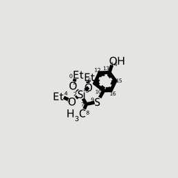 CCO[Si](OCC)(OCC)C(C)Sc1ccc(O)cc1